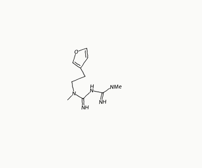 CNC(=N)NC(=N)N(C)CCc1ccoc1